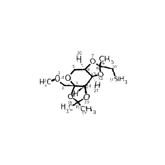 COC[C@@]12OC[C@H]3OC(C)(C[SiH3])O[C@H]3[C@@H]1OC(C)(C)O2